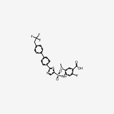 COc1cc(C(=O)O)c(F)cc1NS(=O)(=O)c1cnc(-c2ccc(-c3ccc(CC(F)(F)F)cc3)cc2)s1